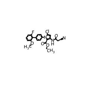 CCOC(=O)c1c(NC(=O)CC#N)cc(Cl)n1-c1ccc(-c2c(F)cccc2OC)cc1